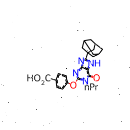 CCCn1c(Oc2ccc(C(=O)O)cc2)nc2nc(C34CC5CC(CC(C5)C3)C4)[nH]c2c1=O